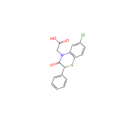 O=C(O)CN1C(=O)C(c2ccccc2)Sc2ccc(Cl)cc21